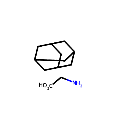 C1C2CC3CC1CC(C2)C3.NCC(=O)O